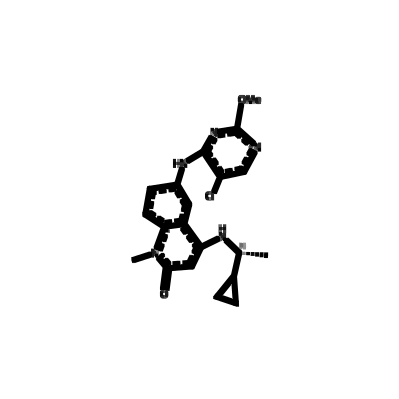 COc1ncc(Cl)c(Nc2ccc3c(c2)c(N[C@H](C)C2CC2)cc(=O)n3C)n1